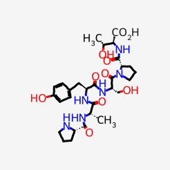 C[C@H](NC(=O)[C@@H]1CCCN1)C(=O)N[C@@H](Cc1ccc(O)cc1)C(=O)N[C@@H](CO)C(=O)N1CCC[C@H]1C(=O)N[C@H](C(=O)O)[C@@H](C)O